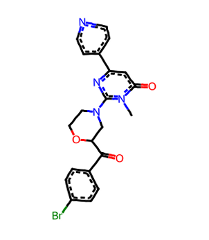 Cn1c(N2CCOC(C(=O)c3ccc(Br)cc3)C2)nc(-c2ccncc2)cc1=O